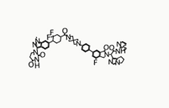 Cn1nc(N2CCC(=O)NC2=O)c2ccc(C3CCC(C(=O)N4CC5(C4)CN(c4ccc(-c6cc(F)c7c(c6)C(=O)N(C(C(=O)Nc6nccs6)c6ncn8c6CCC8)C7)cc4)C5)CC3(F)F)cc21